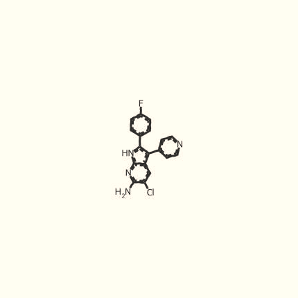 Nc1nc2[nH]c(-c3ccc(F)cc3)c(-c3ccncc3)c2cc1Cl